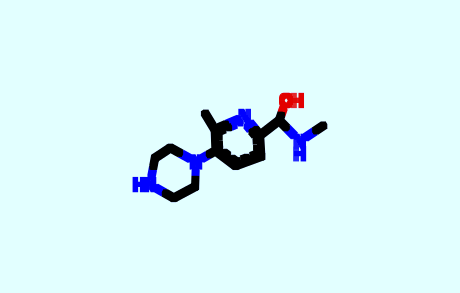 CNC(O)c1ccc(N2CCNCC2)c(C)n1